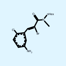 CCCCCCN(C)C(=O)C(Br)=Cc1cc(N)ccc1Cl